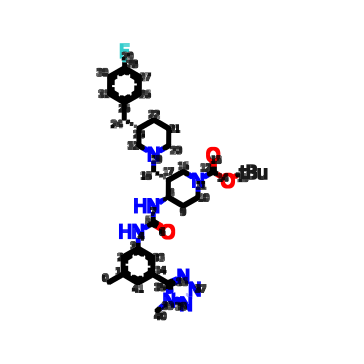 Cc1cc(NC(=O)N[C@@H]2CCN(C(=O)OC(C)(C)C)C[C@H]2CN2CCC[C@@H](Cc3ccc(F)cc3)C2)cc(-c2nnnn2C)c1